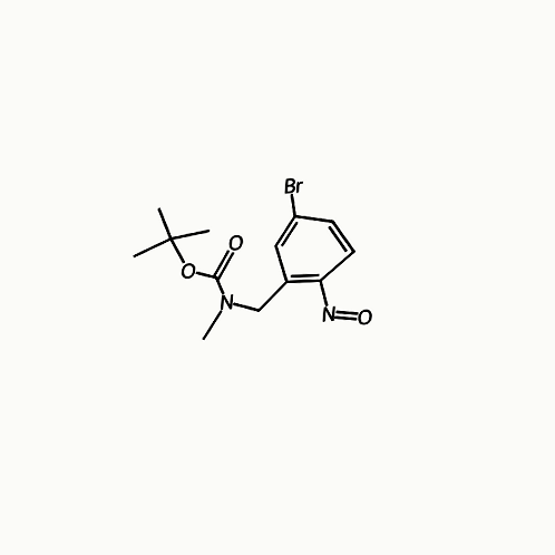 CN(Cc1cc(Br)ccc1N=O)C(=O)OC(C)(C)C